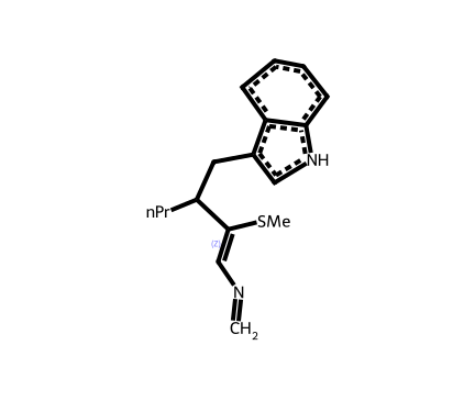 C=N/C=C(\SC)C(CCC)Cc1c[nH]c2ccccc12